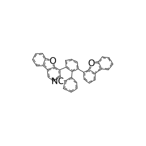 N#Cc1ccccc1-c1c(-c2cccc3c2oc2ccccc23)cccc1-c1cccc2c1oc1ccccc12